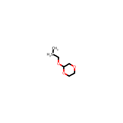 C[SiH2]COC1COCCO1